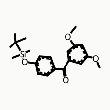 COc1cc(OC)cc(C(=O)c2ccc(O[Si](C)(C)C(C)(C)C)cc2)c1